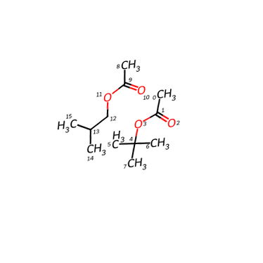 CC(=O)OC(C)(C)C.CC(=O)OCC(C)C